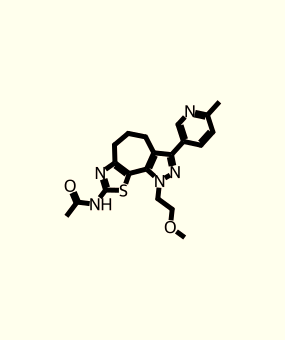 COCCn1nc(-c2ccc(C)nc2)c2c1-c1sc(NC(C)=O)nc1CCC2